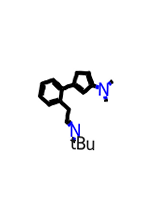 CN(C)C1=CCC(c2ccccc2CC=NC(C)(C)C)=C1